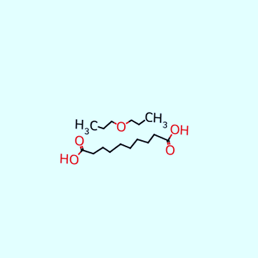 CCCOCCC.O=C(O)CCCCCCCCC(=O)O